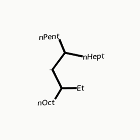 CCCCCCCCC([CH]C(CCCCC)CCCCCCC)CC